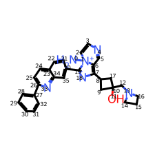 N[N+]12C=CN=CC1=C(C1CC(O)(CN3CCC3)C1)N=C2c1ccc2ccc(-c3ccccc3)nc2c1